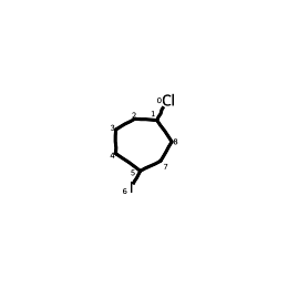 ClC1CCCC(I)CC1